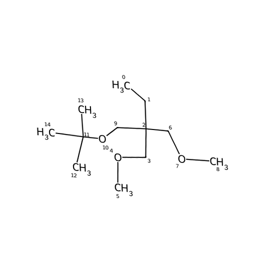 CCC(COC)(COC)COC(C)(C)C